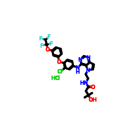 CC(C)(O)CC(=O)NCCn1ccc2ncnc(Nc3ccc(Oc4cccc(OC(F)(F)C(F)F)c4)c(Cl)c3)c21.Cl